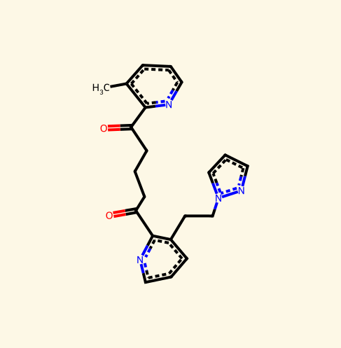 Cc1cccnc1C(=O)CCCC(=O)c1ncccc1CCn1cccn1